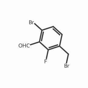 O=Cc1c(Br)ccc(CBr)c1F